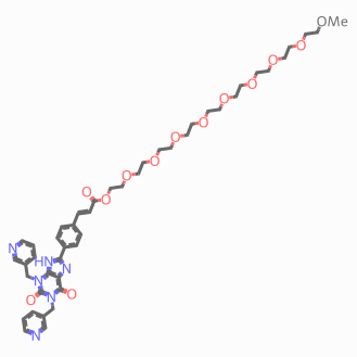 COCCOCCOCCOCCOCCOCCOCCOCCOCCOC(=O)/C=C/c1ccc(-c2nc3c(=O)n(Cc4cccnc4)c(=O)n(Cc4cccnc4)c3[nH]2)cc1